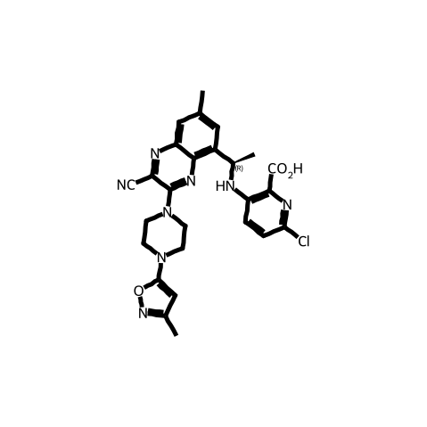 Cc1cc([C@@H](C)Nc2ccc(Cl)nc2C(=O)O)c2nc(N3CCN(c4cc(C)no4)CC3)c(C#N)nc2c1